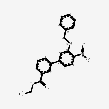 CCOC(=O)c1cccc(-c2ccc([N+](=O)[O-])c(NCc3ccccc3)c2)c1